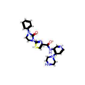 O=C(Nc1cnccc1N1CCNCC1)c1csc(N2CCN(c3ccccc3)C2=O)n1